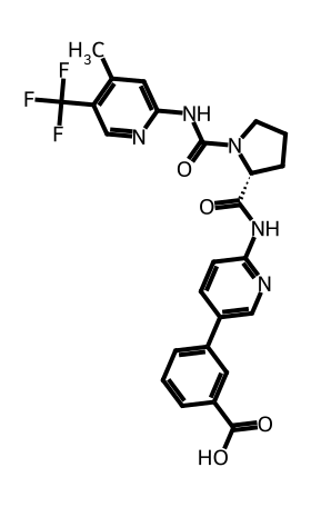 Cc1cc(NC(=O)N2CCC[C@@H]2C(=O)Nc2ccc(-c3cccc(C(=O)O)c3)cn2)ncc1C(F)(F)F